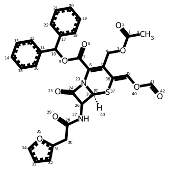 CC(=O)OCC1=C(C(=O)OC(c2ccccc2)c2ccccc2)N2C(=O)C(NC(=O)Cc3ccco3)[C@@H]2SC1=COC=O